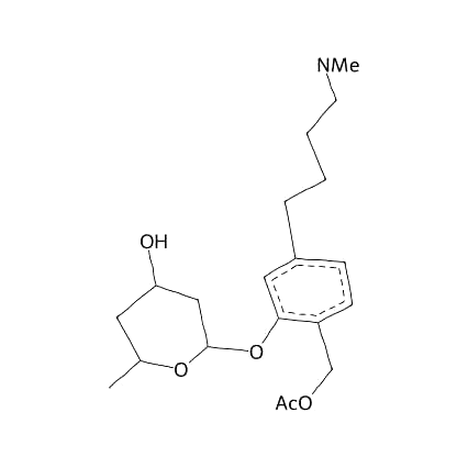 CNCCCCc1ccc(COC(C)=O)c(OC2CC(O)CC(C)O2)c1